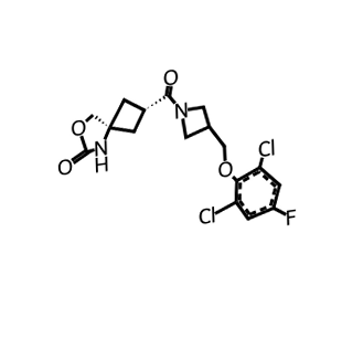 O=C1N[C@]2(CO1)C[C@@H](C(=O)N1CC(COc3c(Cl)cc(F)cc3Cl)C1)C2